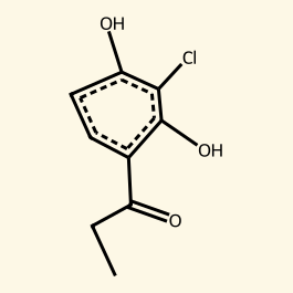 CCC(=O)c1ccc(O)c(Cl)c1O